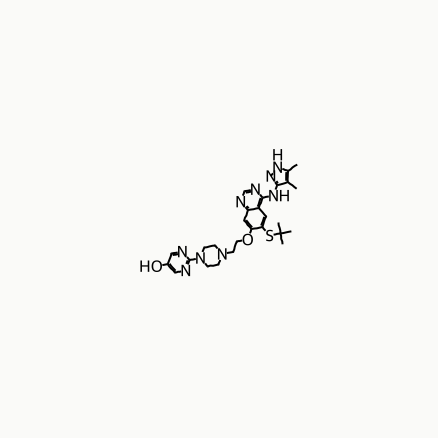 Cc1[nH]nc(Nc2ncnc3cc(OCCN4CCN(c5ncc(O)cn5)CC4)c(SC(C)(C)C)cc23)c1C